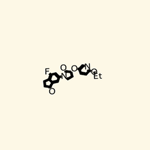 CCOc1ccc(OC2CCN(c3cc(F)c4c(c3)C(=O)CC4)C2=O)cn1